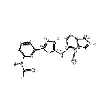 CC(=O)N(C)c1cccc(-c2nnc(Nc3ccc4[nH]ncc4c3Cl)s2)c1